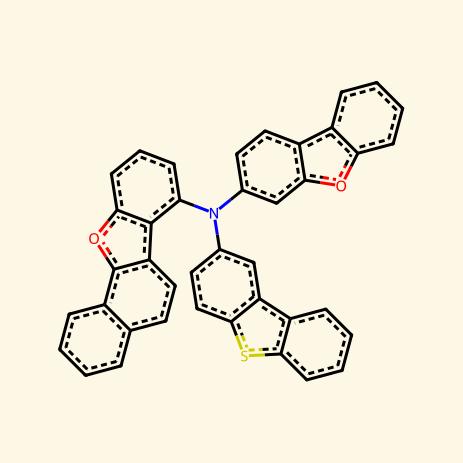 c1ccc2c(c1)ccc1c2oc2cccc(N(c3ccc4c(c3)oc3ccccc34)c3ccc4sc5ccccc5c4c3)c21